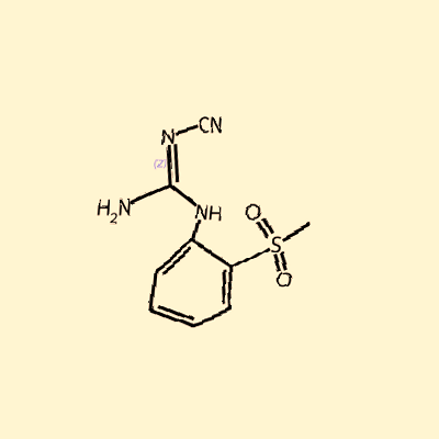 CS(=O)(=O)c1ccccc1N/C(N)=N\C#N